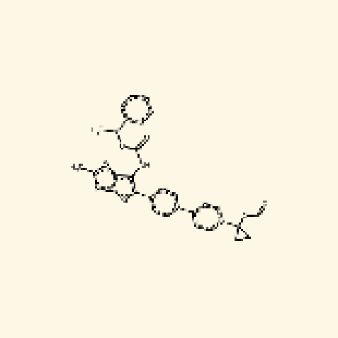 Cc1nc2oc(-c3ccc(-c4ccc(C5(OC=O)CC5)cc4)cc3)c(NC(=O)OC(C)c3ccccc3)c2o1